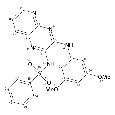 COc1cc(Nc2nc3ncccc3nc2NS(=O)(=O)c2ccccc2)cc(OC)c1